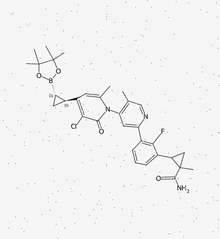 Cc1cnc(-c2cccc(C3CC3(C)C(N)=O)c2F)cc1-n1c(C)cc([C@H]2C[C@@H]2B2OC(C)(C)C(C)(C)O2)c(Cl)c1=O